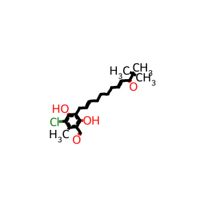 Cc1c(Cl)c(O)c(C/C=C/CCCC/C=C/C(=O)C(C)(C)C)c(O)c1C=O